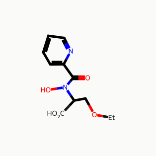 CCOCC(C(=O)O)N(O)C(=O)c1ccccn1